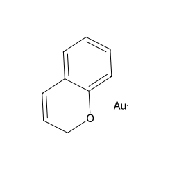 C1=Cc2ccccc2OC1.[Au]